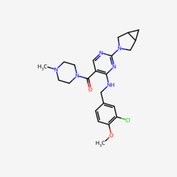 COc1ccc(CNc2nc(N3CC4CC4C3)ncc2C(=O)N2CCN(C)CC2)cc1Cl